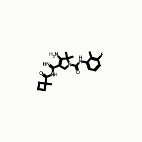 Cc1c(F)cccc1NC(=O)N1CC(C(=N)NC(=O)C2(C)CCC2)=C(N)C1(C)C